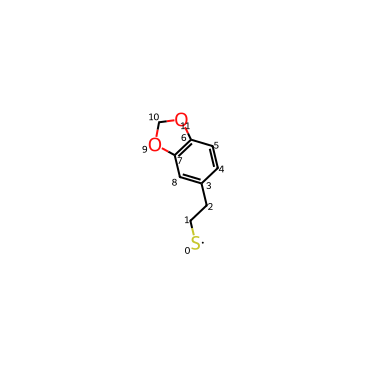 [S]CCc1ccc2c(c1)OCO2